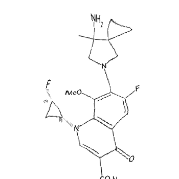 COc1c(N2CC(C)(N)C3(CC3)C2)c(F)cc2c(=O)c(C(=O)O)cn([C@@H]3C[C@@H]3F)c12